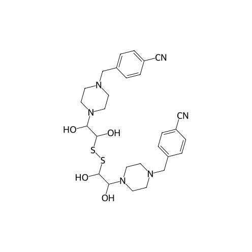 N#Cc1ccc(CN2CCN(C(O)C(O)SSC(O)C(O)N3CCN(Cc4ccc(C#N)cc4)CC3)CC2)cc1